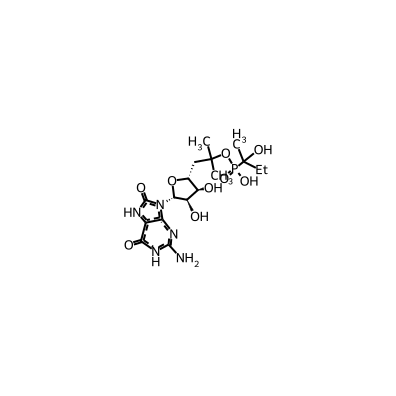 CCC(C)(O)P(=O)(O)OC(C)(C)C[C@H]1O[C@@H](n2c(=O)[nH]c3c(=O)[nH]c(N)nc32)[C@H](O)[C@@H]1O